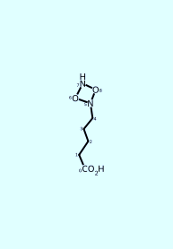 O=C(O)CCCCN1ONO1